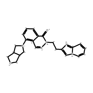 O=c1c2cccc(N3CC4COCC4C3)c2cnn1CCc1cn2ccccc2n1